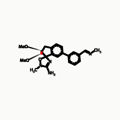 C/N=C/c1cccc(-c2ccc3c(c2)C2(N=C(N)N(C)O2)C2(C3)C[C@H](OC)[C@H](OC)C2)c1